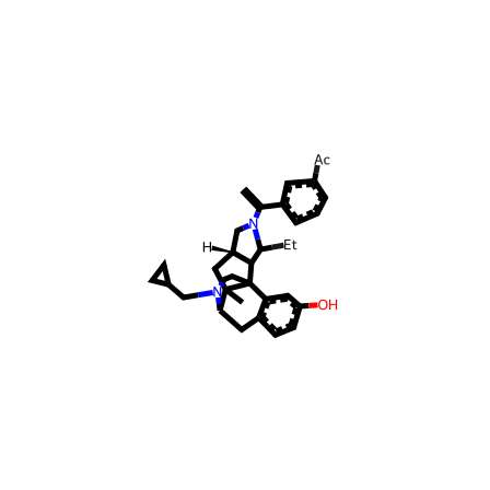 C=C(c1cccc(C(C)=O)c1)N1C[C@H]2CC3(C)C4Cc5ccc(O)cc5C3(CCN4CC3CC3)C2C1CC